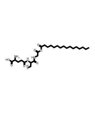 CCCCCCCCCCCCCCCC(=O)OC(=O)CNC(=O)C(CS)NC(=O)CCC(N)C(=O)O